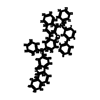 c1ccc(-c2cccc(N(c3ccccc3)c3c4ccccc4cc4c3oc3ccc(N(c5ccccc5)c5ccc6c(c5)sc5c7ccccc7ccc65)cc34)c2)cc1